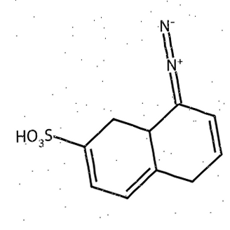 [N-]=[N+]=C1C=CCC2=CC=C(S(=O)(=O)O)CC21